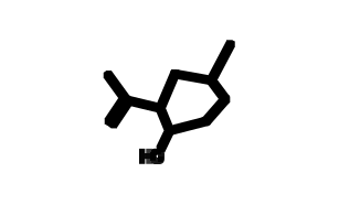 C=C(C)C1CC(C)CCC1O